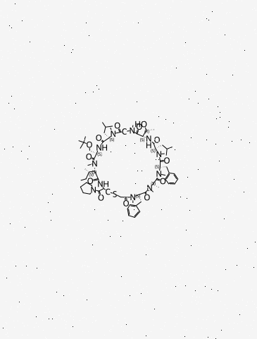 CC[C@H](C)[C@H]1C(=O)NC(C(=O)N2CCCCC2)CSCC(=O)N(C)[C@@H](Cc2ccccc2)C(=O)N(C)[C@@H](C)C(=O)N(C)[C@@H](Cc2ccccc2)C(=O)N(C)[C@@H](CC(C)C)C(=O)N[C@@H]([C@@H](C)O)C(=O)N(C)CC(=O)N(C)[C@@H](CC(C)C)C(=O)N[C@@H](COC(C)(C)C)C(=O)N1C